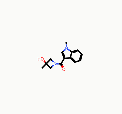 Cn1cc(C(=O)N2CC(C)(O)C2)c2ccccc21